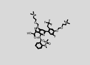 CN(c1ccccc1CNc1nc(-c2cc(F)c(OCOCC[Si](C)(C)C)cc2CC(F)(F)F)cc2c1c(C(=O)O)nn2COCC[Si](C)(C)C)S(C)(=O)=O